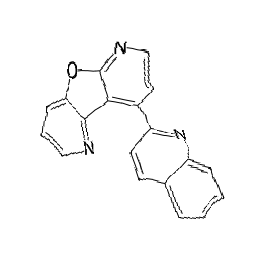 c1ccc2nc(-c3ccnc4oc5cccnc5c34)ccc2c1